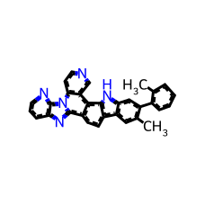 Cc1ccccc1-c1cc2[nH]c3c(ccc4c3c3cnccc3n3c5ncccc5nc43)c2cc1C